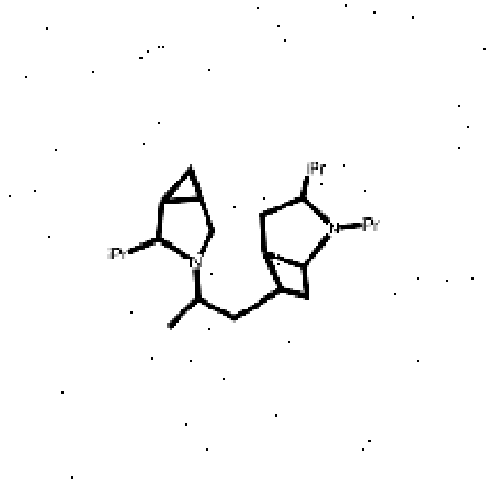 CC(C)C1C2CC2CN1C(C)CC1CC2C1CC(C(C)C)N2C(C)C